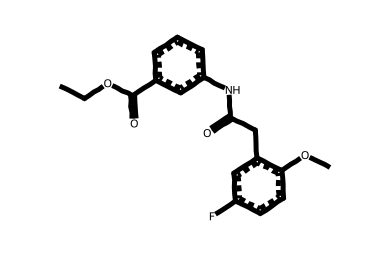 CCOC(=O)c1cccc(NC(=O)Cc2cc(F)ccc2OC)c1